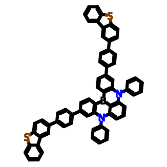 c1ccc(N2c3cc(-c4ccc(-c5ccc6sc7ccccc7c6c5)cc4)ccc3B3c4ccc(-c5ccc(-c6ccc7sc8ccccc8c7c6)cc5)cc4N(c4ccccc4)c4cccc2c43)cc1